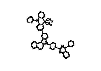 CC1(C)c2ccccc2N(c2ccccc2)c2ccc(-c3ccc4c(c3)c3c5ccccc5ccc3n4-c3ccc(-c4nc(-c5ccccc5)c5ccccc5n4)cc3)cc21